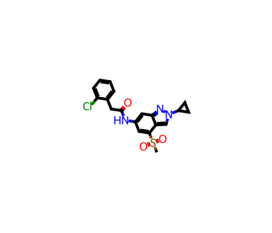 CS(=O)(=O)c1cc(NC(=O)Cc2ccccc2Cl)cc2nn(C3CC3)cc12